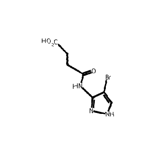 O=C(O)CCC(=O)Nc1n[nH]cc1Br